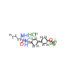 CCCC[C@H](N)C(=O)NCc1ccc(-c2ccc(OC(F)(F)F)cc2)cc1.Cl